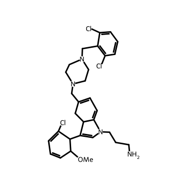 COC1C=CC=C(Cl)C1C1=CN(CCCN)C2=CC=C(CN3CCN(Cc4c(Cl)cccc4Cl)CC3)CC12